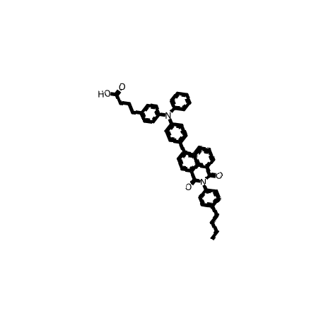 CCCCc1ccc(N2C(=O)c3cccc4c(-c5ccc(N(c6ccccc6)c6ccc(CCCC(=O)O)cc6)cc5)ccc(c34)C2=O)cc1